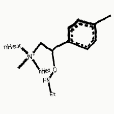 CCCCCC[N+](C)(CCCCCC)CC(ONCC)c1ccc(C)cc1